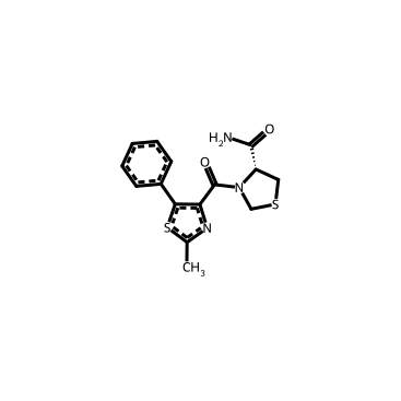 Cc1nc(C(=O)N2CSC[C@H]2C(N)=O)c(-c2ccccc2)s1